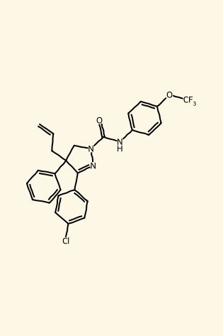 C=CCC1(c2ccccc2)CN(C(=O)Nc2ccc(OC(F)(F)F)cc2)N=C1c1ccc(Cl)cc1